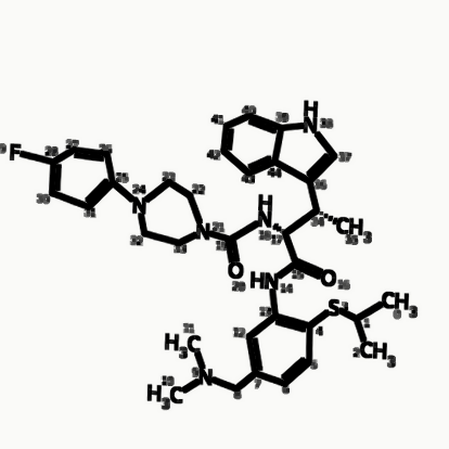 CC(C)Sc1ccc(CN(C)C)cc1NC(=O)[C@H](NC(=O)N1CCN(c2ccc(F)cc2)CC1)[C@@H](C)c1c[nH]c2ccccc12